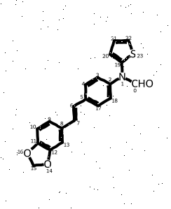 O=CN(c1ccc(/C=C/c2ccc3c(c2)OCO3)cc1)c1cccs1